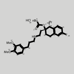 CCCCC(=O)O[C@@]1(CCNCCCc2ccc(OC)c(OC)c2)CCc2cc(F)ccc2[C@H]1C(C)C.Cl